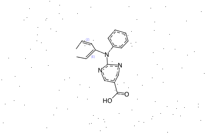 C/C=C\C(=C/C)N(c1ccccc1)c1ncc(C(=O)O)cn1